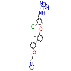 Cc1c(COc2ccc(CNCc3ncn[nH]3)cc2Cl)cccc1-c1cccc(OCCCN2CCCC2)c1C